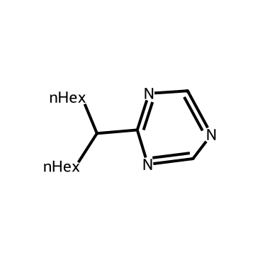 CCCCCCC(CCCCCC)c1ncncn1